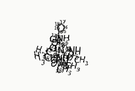 CCC(=O)N[C@H]1C[C@@H](C(=O)N[C@H](CC)c2ccccc2)N(C(=O)[C@@H](NC(=O)[C@H](C)NC)C(C)(C)C)C1